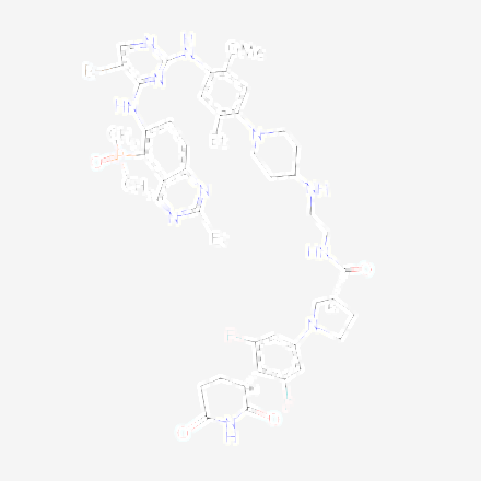 CCc1ncc2c(P(C)(C)=O)c(Nc3nc(Nc4cc(CC)c(N5CCC(NCCNC(=O)[C@@H]6CCN(c7cc(F)c([C@H]8CCC(=O)NC8=O)c(F)c7)C6)CC5)cc4OC)ncc3Br)ccc2n1